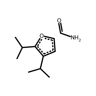 CC(C)c1ccoc1C(C)C.NC=O